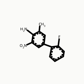 Cc1cc(-c2ccccc2F)cc([N+](=O)[O-])c1N